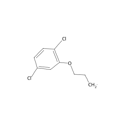 [CH2]CCOc1cc(Cl)ccc1Cl